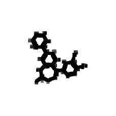 CN1CCN(c2ccc(F)c(F)c2)c2ccc(-c3ccccn3)cc2C1